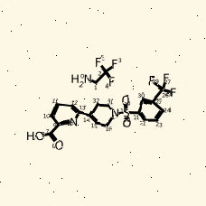 NCC(F)(F)F.O=C(O)c1cccc(C2=CCN(S(=O)(=O)c3cccc(C(F)(F)F)c3)CC2)n1